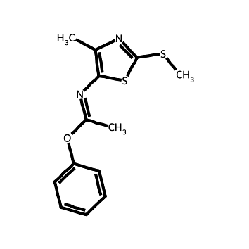 CSc1nc(C)c(/N=C(\C)Oc2ccccc2)s1